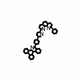 c1ccc(-c2ccc3ccc4ccc(-c5ccc(-c6ccc(-c7nc8c9ccccc9c9ccccc9c8c8ccccc78)cc6)cn5)nc4c3n2)cc1